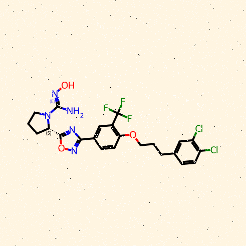 N/C(=N\O)N1CCC[C@H]1c1nc(-c2ccc(OCCCc3ccc(Cl)c(Cl)c3)c(C(F)(F)F)c2)no1